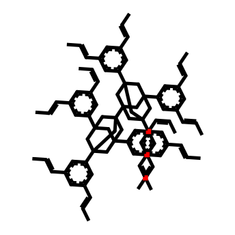 CC=Cc1cc(C=CC)cc(C23CC4(c5cc(C=CC)cc(C=CC)c5)CC(c5cc(C=CC)cc(C=CC)c5)(C2)CC(C25CC6(c7cc(C=CC)cc(C=CC)c7)CC(c7cc(C=CC)cc(C=CC)c7)(CC(c7cc(C=CC)cc(C=CC)c7)(C6)C2)C5)(C3)C4)c1